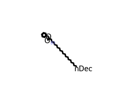 CCCCCCCCCCCCCCCCCCCCCCCCCC/C=C/CC(=O)Oc1ccccc1